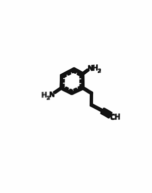 C#CCCc1cc(N)ccc1N